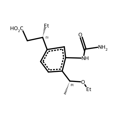 CCO[C@H](C)c1ccc([C@@H](CC)CC(=O)O)cc1NC(N)=O